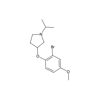 COc1ccc(OC2CCN(C(C)C)C2)c(Br)c1